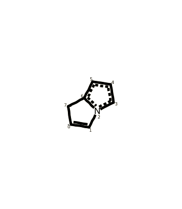 [C]1=Cn2cccc2[CH]1